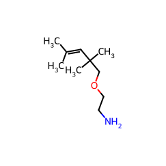 CC(C)=CC(C)(C)COCCN